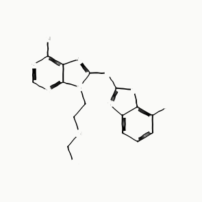 CC(C)(C)CNCCn1c(Sc2nc3cccc(Cl)c3s2)nc2c(N)ncnc21